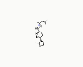 CC(C)=C/C(C)=N/Nc1ccc(-n2ccnc2C)nn1